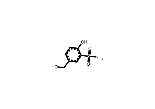 NS(=O)(=O)c1cc(CO)ccc1O